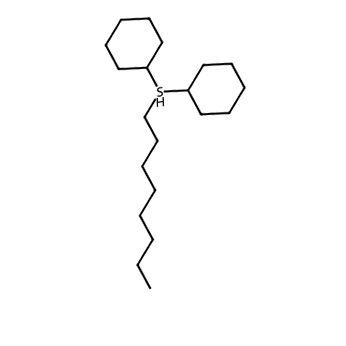 CCCCCCCC[SH](C1CCCCC1)C1CCCCC1